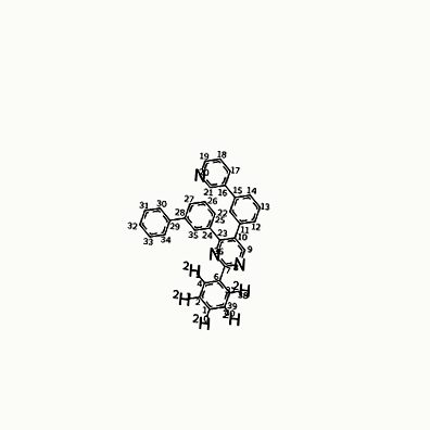 [2H]c1c([2H])c([2H])c(-c2ncc(-c3cccc(-c4cccnc4)c3)c(-c3cccc(-c4ccccc4)c3)n2)c([2H])c1[2H]